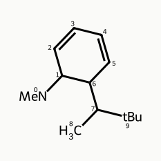 CNC1C=CC=CC1C(C)C(C)(C)C